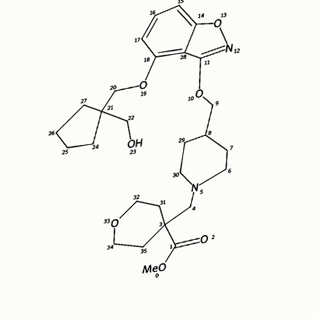 COC(=O)C1(CN2CCC(COc3noc4cccc(OCC5(CO)CCCC5)c34)CC2)CCOCC1